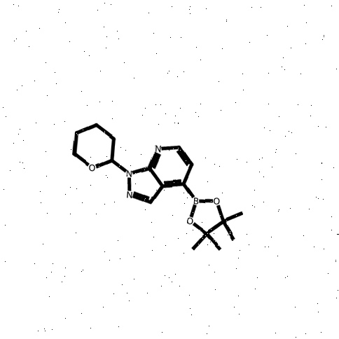 CC1(C)OB(c2ccnc3c2cnn3C2CCCCO2)OC1(C)C